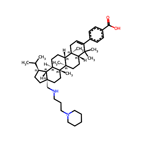 CC(C)[C@@H]1CC[C@]2(CNCCCN3CCCCC3)CC[C@]3(C)[C@H](CC[C@@H]4[C@@]5(C)CC=C(c6ccc(C(=O)O)cc6)C(C)(C)[C@@H]5CC[C@]43C)[C@@H]12